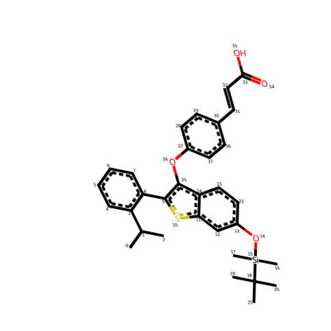 CC(C)c1ccccc1-c1sc2cc(O[Si](C)(C)C(C)(C)C)ccc2c1Oc1ccc(/C=C/C(=O)O)cc1